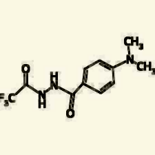 CN(C)c1ccc(C(=O)NNC(=O)C(F)(F)F)cc1